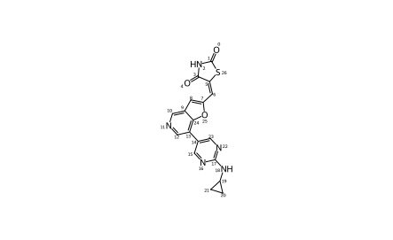 O=C1NC(=O)/C(=C\c2cc3cncc(-c4cnc(NC5CC5)nc4)c3o2)S1